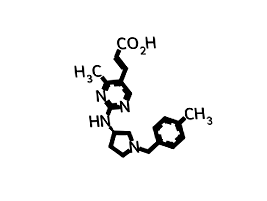 Cc1ccc(CN2CC[C@@H](Nc3ncc(/C=C/C(=O)O)c(C)n3)C2)cc1